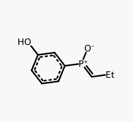 CC/C=[P+](\[O-])c1cccc(O)c1